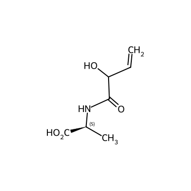 C=CC(O)C(=O)N[C@@H](C)C(=O)O